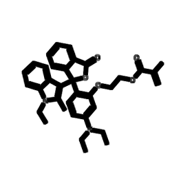 C=C(C)C(=O)OCCOc1cc(N(CC)CC)ccc1C1(c2c(C)n(CC)c3ccccc23)OC(=O)c2ccccc21